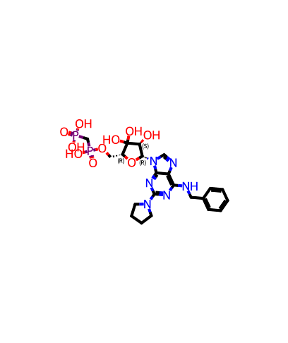 O=P(O)(O)CP(=O)(O)OC[C@H]1O[C@@H](n2cnc3c(NCc4ccccc4)nc(N4CCCC4)nc32)[C@H](O)C1(O)O